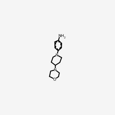 Nc1ccc(N2CCC(N3CCOCC3)CC2)cc1